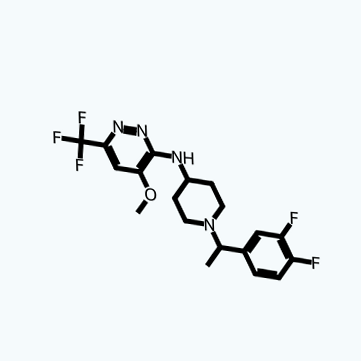 COc1cc(C(F)(F)F)nnc1NC1CCN(C(C)c2ccc(F)c(F)c2)CC1